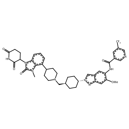 COc1cc2nn([C@H]3CC[C@H](CN4CCC(c5cccc6c5n(C)c(=O)n6C5CCC(=O)NC5=O)CC4)CC3)cc2cc1NC(=O)c1cncc(C(F)(F)F)c1